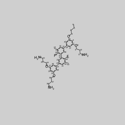 CCCCOc1cc(OCCCN)cc(-c2cc(C)c(F)c(-c3cc(-c4cc(OCCCN)cc(OCCCN)c4)cc(C)c3F)c2)c1